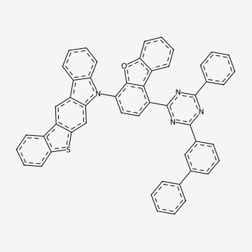 c1ccc(-c2cccc(-c3nc(-c4ccccc4)nc(-c4ccc(-n5c6ccccc6c6cc7c(cc65)sc5ccccc57)c5oc6ccccc6c45)n3)c2)cc1